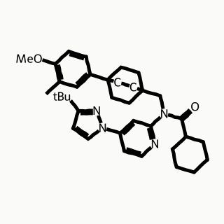 COc1ccc(C23CCC(CN(C(=O)C4CCCCC4)c4cc(-n5ccc(C(C)(C)C)n5)ccn4)(CC2)CC3)cc1C